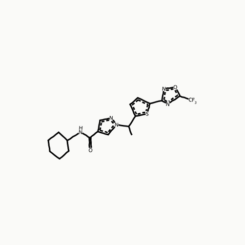 CC(c1ccc(-c2noc(C(F)(F)F)n2)s1)n1cc(C(=O)NC2CCCCC2)cn1